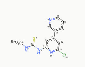 CCOC(=O)NC(=S)Nc1cc(-c2cccnc2)cc(Cl)n1